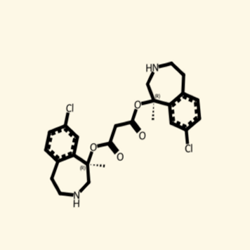 C[C@]1(OC(=O)CC(=O)O[C@@]2(C)CNCCc3ccc(Cl)cc32)CNCCc2ccc(Cl)cc21